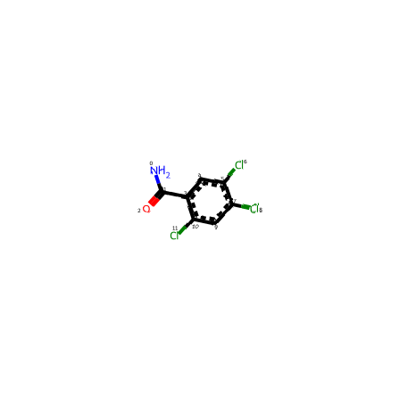 NC(=O)c1cc(Cl)c(Cl)cc1Cl